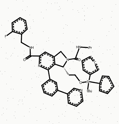 CC(C)NC(=O)N1Cc2cc(C(=O)NCc3ccccc3F)nc(-c3cccc(-c4cccnc4)c3)c2[C@H]1CCO[Si](c1ccccc1)(c1ccccc1)C(C)(C)C